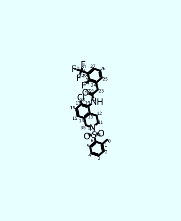 Cc1ccccc1S(=O)(=O)N1CCc2c(ccc(Cl)c2NC(=O)Cc2cccc(C(F)(F)F)c2F)C1